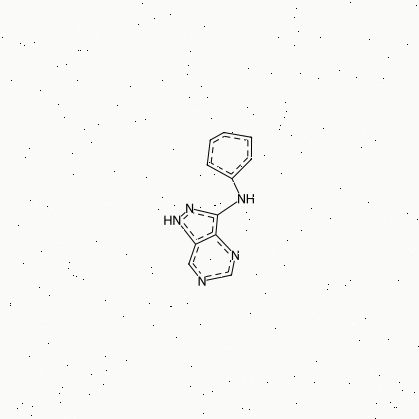 c1ccc(Nc2n[nH]c3cncnc23)cc1